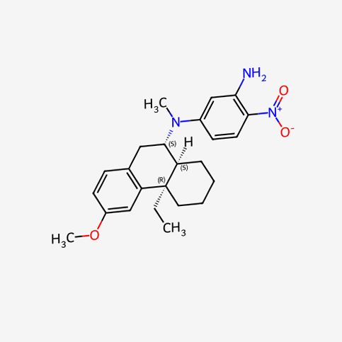 CC[C@@]12CCCC[C@@H]1[C@@H](N(C)c1ccc([N+](=O)[O-])c(N)c1)Cc1ccc(OC)cc12